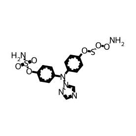 NOOSOc1ccc(N(c2ccc(OS(N)(=O)=O)cc2)n2cncn2)cc1